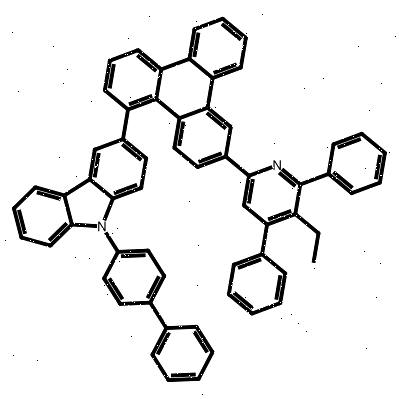 CCc1c(-c2ccccc2)cc(-c2ccc3c(c2)c2ccccc2c2cccc(-c4ccc5c(c4)c4ccccc4n5-c4ccc(-c5ccccc5)cc4)c23)nc1-c1ccccc1